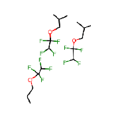 CC(C)COC(F)(F)C(F)F.CC(C)COC(F)(F)C(F)F.CCCOC(F)(F)C(F)F